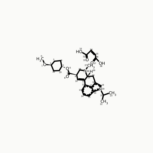 CO[C@H]1CC[C@H](OC(=O)[C@@H]2C=C3c4cccc5c4c(cn5C(C)C)C[C@H]3N(C)C2)CC1.O=C(O)/C=C\C(=O)O